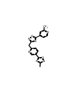 Cc1noc(-c2ccc(Cc3noc(-c4ccnc(C(F)(F)F)c4)n3)nc2)n1